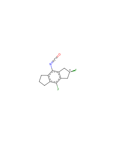 O=C=Nc1c2c(c(F)c3c1C[C@@H](F)C3)CCC2